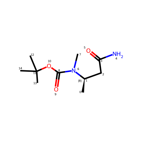 C[C@H](CC(N)=O)N(C)C(=O)OC(C)(C)C